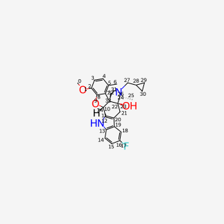 COc1ccc(C)c2c1O[C@H]1c3[nH]c4ccc(F)cc4c3C[C@@]3(O)[C@@H](C)N(CC4CC4)CC[C@]213